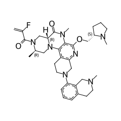 C=C(F)C(=O)N1C[C@@H]2C(=O)N(C)c3c(OC[C@@H]4CCCN4C)nc4c(c3N2C[C@H]1C)CCN(c1cccc2c1CN(C)CC2)C4